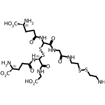 NCCSSCCNC(=O)CNC(=O)C(NC(=O)CC[C@H](N)C(=O)O)SS[C@H](NC(=O)CC[C@H](N)C(=O)O)C(=O)NCC(=O)O